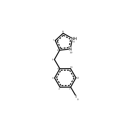 Ic1ccc(Cc2cc[nH]n2)cc1